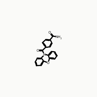 NC(=O)c1ccc(C(=O)N2c3ccccc3Oc3ccccc32)cc1